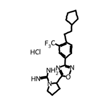 Cl.N=C(N)N1CCCC1c1nc(-c2ccc(CCC3CCCC3)c(C(F)(F)F)c2)no1